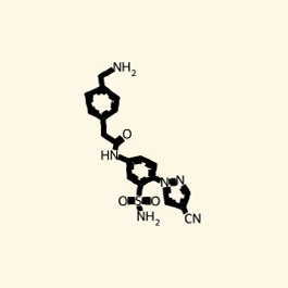 N#Cc1cnn(-c2ccc(NC(=O)Cc3ccc(CN)cc3)cc2S(N)(=O)=O)c1